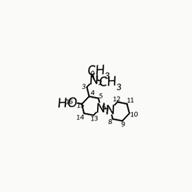 CN(C)CC1CN(N2CCCCC2)CCC1O